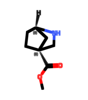 COC(=O)[C@]12CC[C@H](C1)NC2